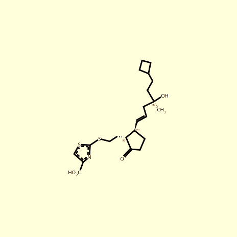 C[C@](O)(CC=C[C@H]1CCC(=O)[C@@H]1CCSc1nc(C(=O)O)cs1)CCC1CCC1